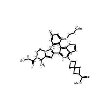 CNC(=O)C1CC2(C1)CN(c1nc(-c3cc4n(n3)CCN(C(=O)OC(C)(C)C)[C@@H]4C)c(-c3c(F)cc(F)cc3OCCOC)c3sccc13)C2